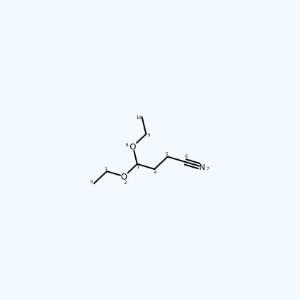 CCOC(CCC#N)OCC